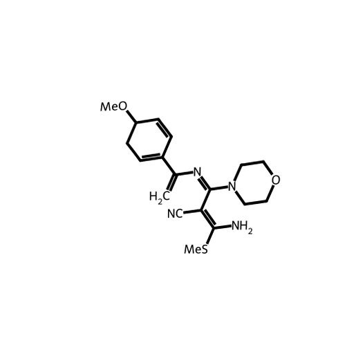 C=C(/N=C(\C(C#N)=C(/N)SC)N1CCOCC1)C1=CCC(OC)C=C1